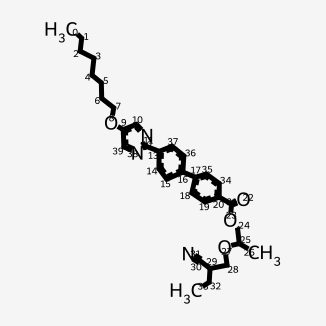 CCCCCCCCOc1cnc(-c2ccc(-c3ccc(C(=O)OCC(C)OCC(C#N)CC)cc3)cc2)nc1